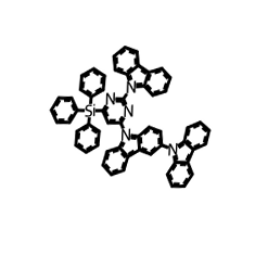 c1ccc([Si](c2ccccc2)(c2ccccc2)c2cc(-n3c4ccccc4c4cc(-n5c6ccccc6c6ccccc65)ccc43)nc(-n3c4ccccc4c4ccccc43)n2)cc1